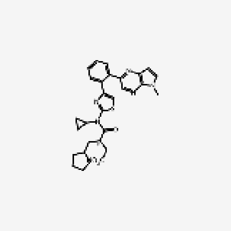 Cn1ccc2nc(-c3ccccc3-c3csc(N(C(=O)[C@@H](CC(=O)O)CC4CCCC4)C4CC4)n3)cnc21